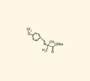 COC(=O)C(C)(C)N=Cc1ccc(OC(F)(F)F)cc1